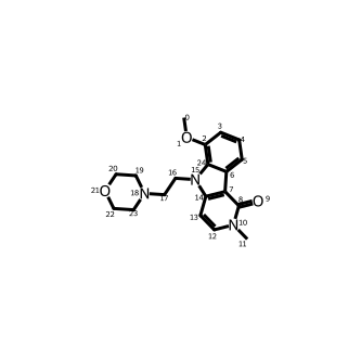 COc1cccc2c3c(=O)n(C)ccc3n(CCN3CCOCC3)c12